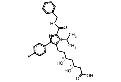 CC(C)n1c(C(=O)NCc2ccccc2)nc(-c2ccc(F)cc2)c1CC[C@@H](O)C[C@@H](O)CC(=O)O